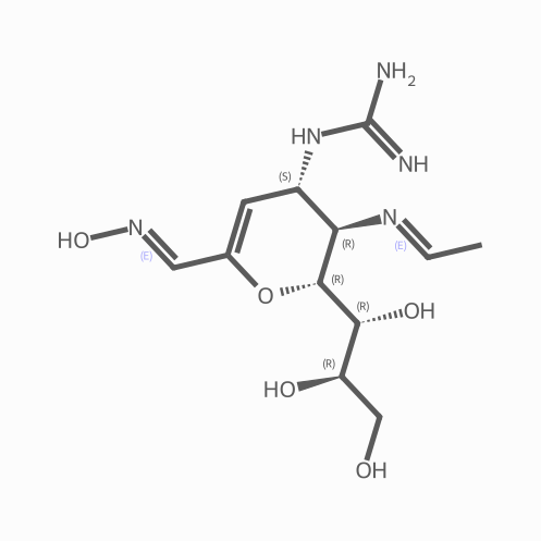 C/C=N/[C@H]1[C@H]([C@H](O)[C@H](O)CO)OC(/C=N/O)=C[C@@H]1NC(=N)N